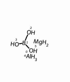 OB(O)O.[AlH3].[MgH2]